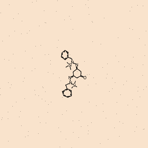 C[Si](C)(C)N(Cc1ccccc1)/N=C1\CC(=O)C/C(=N/N(Cc2ccccc2)[Si](C)(C)C)C1